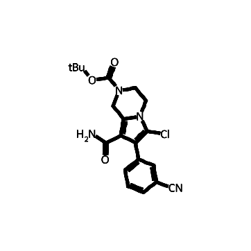 CC(C)(C)OC(=O)N1CCn2c(Cl)c(-c3cccc(C#N)c3)c(C(N)=O)c2C1